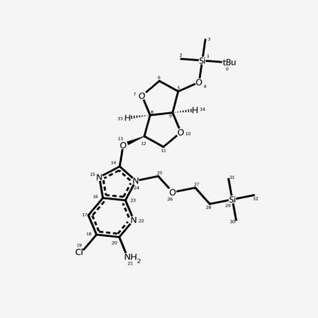 CC(C)(C)[Si](C)(C)OC1CO[C@H]2[C@@H]1OC[C@H]2Oc1nc2cc(Cl)c(N)nc2n1COCC[Si](C)(C)C